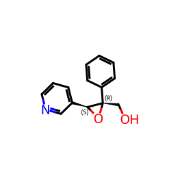 OC[C@@]1(c2ccccc2)O[C@H]1c1cccnc1